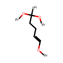 CCCC(CCC=COC(C)C)(OC(C)C)OC(C)C